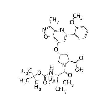 COc1ccccc1-c1cc(O[C@@H]2C[C@@H](C(=O)O)N(C(=O)[C@@H](NC(=O)OC(C)(C)C)C(C)(C)C)C2)c2onc(C)c2n1